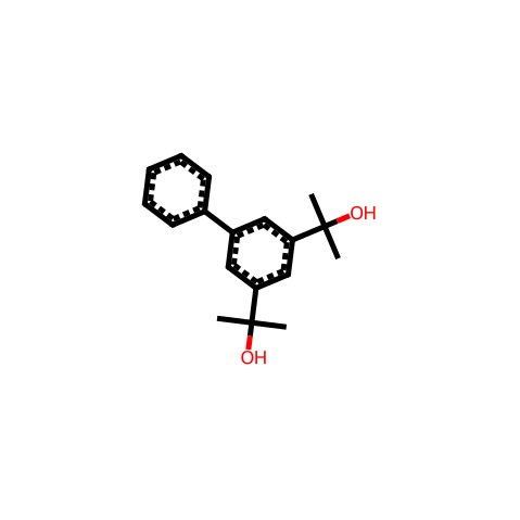 CC(C)(O)c1cc(-c2ccccc2)cc(C(C)(C)O)c1